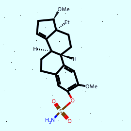 CC[C@]12CC[C@@H]3c4cc(OC)c(OS(N)(=O)=O)cc4CC[C@H]3C1=CC[C@H]2OC